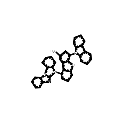 Cc1cc(-n2c3ccccc3c3ccccc32)c2oc3cccc(-n4c5ccccc5n5c6ccccc6nc45)c3c2c1